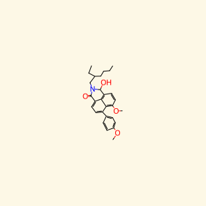 CCCCC(CC)CN1C(=O)c2ccc(-c3ccc(OC)cc3)c3c(OC)ccc(c23)C1O